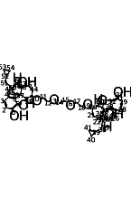 Oc1ccc2c3c1O[C@H]1[C@@H](OCCOCCOCCO[C@H]4CC[C@@]5(O)[C@H]6Cc7ccc(O)c8c7[C@@]5(CCC6CC5CC5)[C@H]4O8)CC[C@@]4(O)[C@@H](C2)C(CC2CC2)CC[C@]314